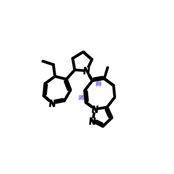 CCC1C=CN=CC=C1C1CCCN1C1=C(\C)CCc2ccnn2/C=C\1